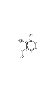 Bc1c(Cl)cccc1C=O